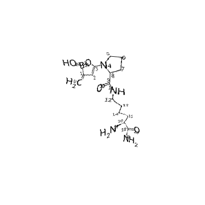 C=C1C=C(N2CCCC2C(=O)NCCCC[C@H](N)C(N)=O)OB1O